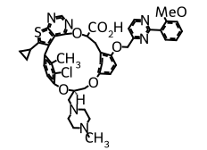 COc1ccccc1-c1nccc(COc2ccc3cc2CC(C(=O)O)Oc2ncnc4sc(C5CC5)c(c24)-c2ccc(c(Cl)c2C)O[C@H](CN2CCN(C)CC2)CO3)n1